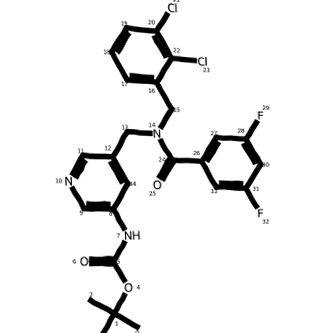 CC(C)(C)OC(=O)Nc1cncc(CN(Cc2cccc(Cl)c2Cl)C(=O)c2cc(F)cc(F)c2)c1